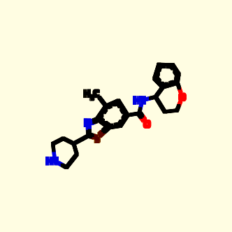 Cc1cc(C(=O)NC2CCOc3ccccc32)cc2sc(C3CCNCC3)nc12